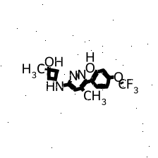 Cc1cc(N[C@H]2C[C@@](C)(O)C2)nnc1-c1ccc(OC(F)(F)F)cc1O